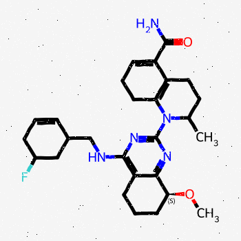 CO[C@H]1CCCc2c(NCC3C=CCC(F)C3)nc(N3C4=C(CCC3C)C(C(N)=O)=CCC4)nc21